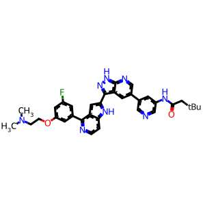 CN(C)CCOc1cc(F)cc(-c2nccc3[nH]c(-c4n[nH]c5ncc(-c6cncc(NC(=O)CC(C)(C)C)c6)cc45)cc23)c1